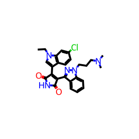 CCn1cc(C2=C(c3nn(CCCN(C)C)c4ccccc34)C(=O)NC2=O)c2ccc(Cl)cc21